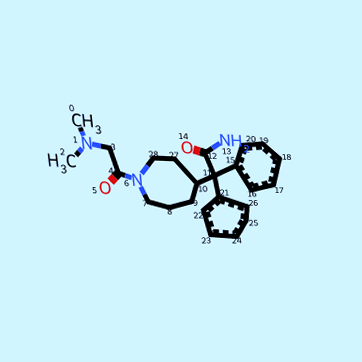 CN(C)CC(=O)N1CCCC(C(C(N)=O)(c2ccccc2)c2ccccc2)CC1